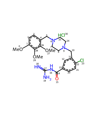 COc1ccc(CN2CCN(Cc3cc(C(=O)NC(=N)N)ccc3Cl)CC2)c(OC)c1OC.Cl